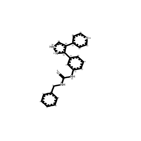 O=C(NCc1ccccc1)Nc1cccc(-c2n[nH]cc2-c2ccncc2)c1